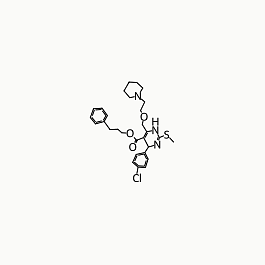 CSC1=NC(c2ccc(Cl)cc2)C(C(=O)OCCCc2ccccc2)=C(COCCN2CCCCC2)N1